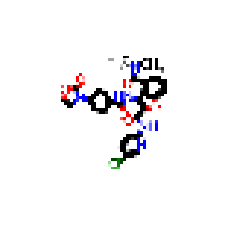 CN(C)C(=O)c1cccc2oc(C(=O)Nc3ccc(Cl)cn3)c(NC(=O)C3CCC(N4CCOC4=O)CC3)c12